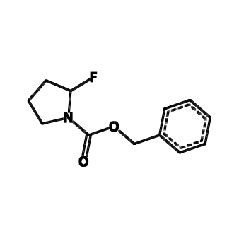 O=C(OCc1ccccc1)N1CCCC1F